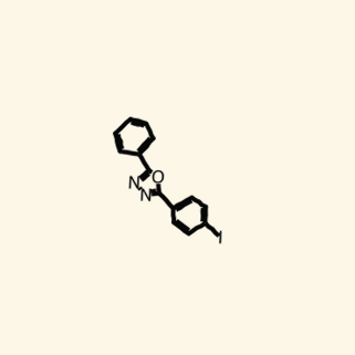 Ic1ccc(-c2nnc(-c3ccccc3)o2)cc1